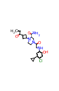 C=CC(=O)C1CC(N2CCN(C(=O)CNc3cc(C4CC4)c(Cl)cc3O)CC2C(N)=O)C1